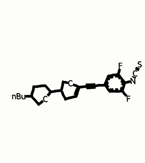 CCCCC1CCC(C2CC=C(C#Cc3cc(F)c(N=C=S)c(F)c3)CC2)CC1